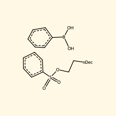 CCCCCCCCCCCCOS(=O)(=O)c1ccccc1.OB(O)c1ccccc1